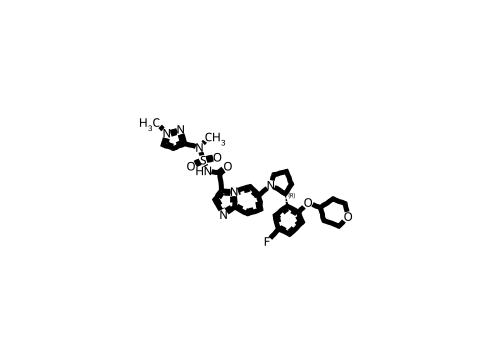 CN(c1ccn(C)n1)S(=O)(=O)NC(=O)c1cnc2ccc(N3CCC[C@@H]3c3cc(F)ccc3OC3CCOCC3)cn12